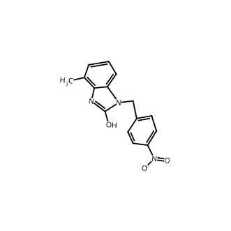 Cc1cccc2c1nc(O)n2Cc1ccc([N+](=O)[O-])cc1